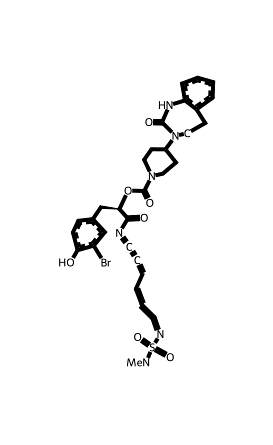 CNS(=O)(=O)N=C=C=CC=C=C=NC(=O)[C@@H](Cc1ccc(O)c(Br)c1)OC(=O)N1CCC(N2CCc3ccccc3NC2=O)CC1